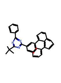 CC(C)(C)c1nc(-c2ccccc2)nc(-c2cccc(-c3cccc4cccc(-c5ccccc5)c34)c2)n1